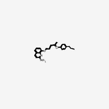 CCCc1ccc(OC(C)CCCOc2cccc3ccc(N)nc23)cc1